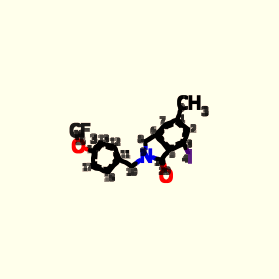 Cc1cc(I)c2c(c1)CN(Cc1ccc(OC(F)(F)F)cc1)C2=O